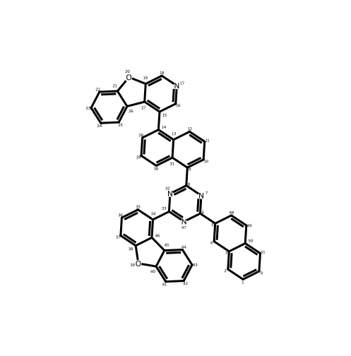 c1ccc2cc(-c3nc(-c4cccc5c(-c6cncc7oc8ccccc8c67)cccc45)nc(-c4cccc5oc6ccccc6c45)n3)ccc2c1